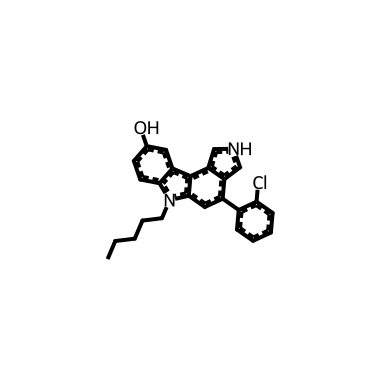 CCCCCn1c2ccc(O)cc2c2c3c[nH]cc3c(-c3ccccc3Cl)cc21